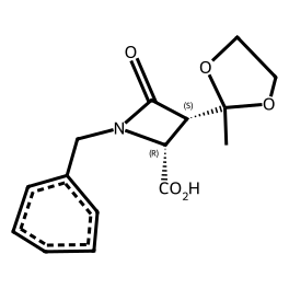 CC1([C@H]2C(=O)N(Cc3ccccc3)[C@H]2C(=O)O)OCCO1